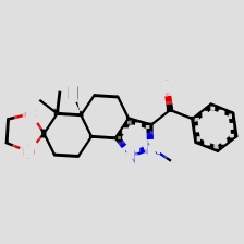 Cn1nc2c(c1C(=O)c1ccccc1)CC[C@H]1C(C)(C)C3(CC[C@]21C)OCCO3